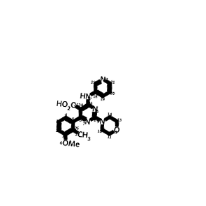 COc1cccc(-c2nc(N3CCOCC3)nc(Nc3cccnc3)c2C(=O)O)c1C